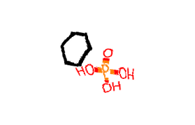 C1CCCCC1.O=P(O)(O)O